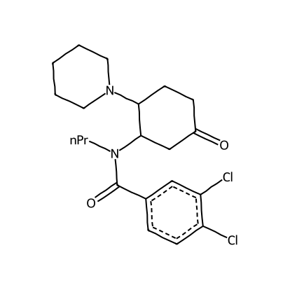 CCCN(C(=O)c1ccc(Cl)c(Cl)c1)C1CC(=O)CCC1N1CCCCC1